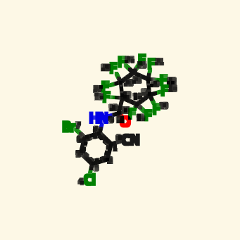 N#Cc1cc(Cl)cc(Br)c1NC(=O)C1(F)C(F)(F)C(F)(F)C(F)(F)C(F)(F)C1(F)F